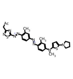 CC(=O)Cc1nsc(/N=N/c2ccc(/N=N/c3ccc(N(C)c4ccc(N5CCCC5)s4)cc3C)cc2C)n1